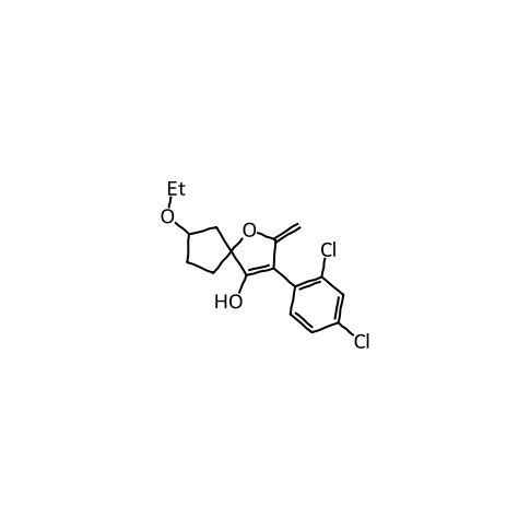 C=C1OC2(CCC(OCC)C2)C(O)=C1c1ccc(Cl)cc1Cl